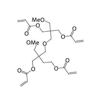 C=CC(=O)OCCC(COC)(COCC(COC)(COC(=O)C=C)COC(=O)C=C)COC(=O)C=C